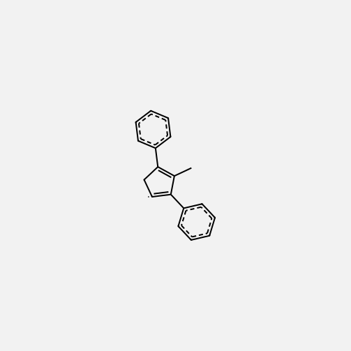 CC1=C(c2ccccc2)C[C]=C1c1ccccc1